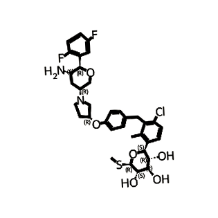 CS[C@H]1O[C@@H](c2ccc(Cl)c(Cc3ccc(O[C@@H]4CCN([C@H]5CO[C@H](c6cc(F)ccc6F)[C@@H](N)C5)C4)cc3)c2C)[C@H](O)[C@@H](O)[C@@H]1O